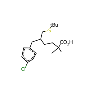 CC(C)(C)SCC(CCC(C)(C)C(=O)O)Cc1ccc(Cl)cc1